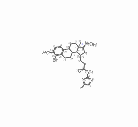 Cc1cnc(NC(=O)CC[C@@H]2C/C(=N\O)[C@@]3(C)CCC4c5ccc(O)c(Br)c5CCC4C23)s1